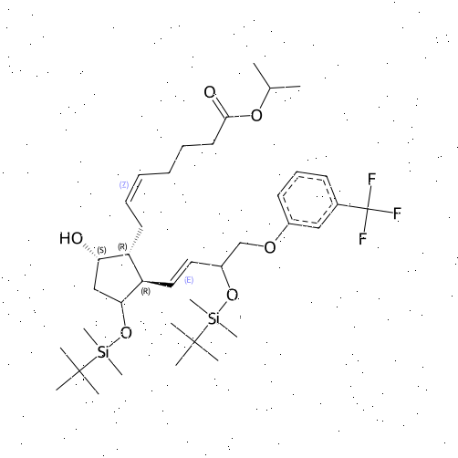 CC(C)OC(=O)CCC/C=C\C[C@H]1[C@@H](O)CC(O[Si](C)(C)C(C)(C)C)[C@@H]1/C=C/C(COc1cccc(C(F)(F)F)c1)O[Si](C)(C)C(C)(C)C